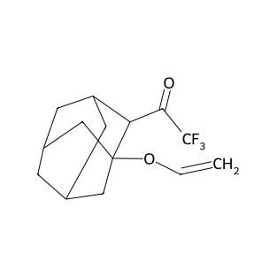 C=COC12CC3CC(CC(C3)C1C(=O)C(F)(F)F)C2